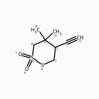 C#CC1CSS(=O)(=O)CC1(C)C